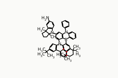 CC(C)(C)c1ccc(N2c3cc4c(cc3B3c5ccccc5N(c5ccccc5)c5cc(N6c7ccc(N)cc7C7(C)CCCC67C)cc2c53)C(C)(C)CCC4(C)C)c(-c2ccccc2)c1